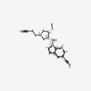 CC[C@H]1CN(CCC#N)C[C@H]1Nn1ccc2cc(C#N)cnc21